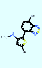 CCOC(=O)Nc1cc(C(C)(C)C)sc1-c1ccc(C(C)(C)C)c2nsnc12